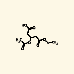 CCOC(=O)CC(CC(=O)O)OC(C)=O